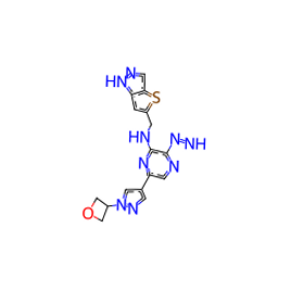 N=Nc1ncc(-c2cnn(C3COC3)c2)nc1NCc1cc2[nH]ncc2s1